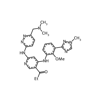 CCC(=O)c1cnc(Nc2ccc(CN(C)C)nn2)cc1Nc1cccc(-c2ncn(C)n2)c1OC